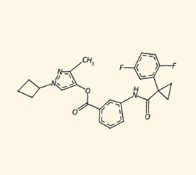 Cc1nn(C2CCC2)cc1OC(=O)c1cccc(NC(=O)C2(c3cc(F)ccc3F)CC2)c1